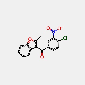 Cc1oc2ccccc2c1C(=O)c1ccc(Cl)c([N+](=O)[O-])c1